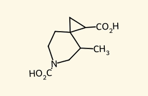 CC1CN(C(=O)O)CCC12CC2C(=O)O